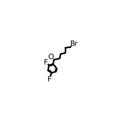 O=C(CCCCCBr)c1ccc(F)cc1F